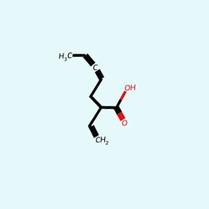 C=CC(CC=C=CC)C(=O)O